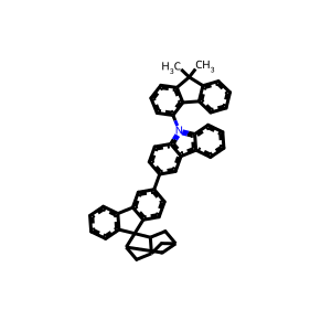 CC1(C)c2ccccc2-c2c(-n3c4ccccc4c4cc(-c5ccc6c(c5)-c5ccccc5C65C6CC7CC(C6)C5C7)ccc43)cccc21